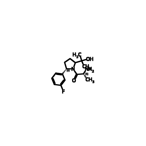 C[C@@H](N)C(=O)N1C(C(C)(C)O)CC[C@H]1c1cccc(F)c1